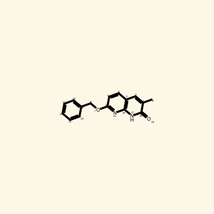 Cc1cc2ccc(OCc3ccccc3)nc2[nH]c1=O